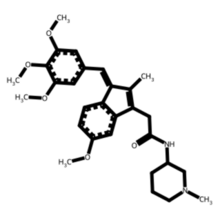 COc1ccc2c(c1)C(CC(=O)NC1CCCN(C)C1)=C(C)/C2=C/c1cc(OC)c(OC)c(OC)c1